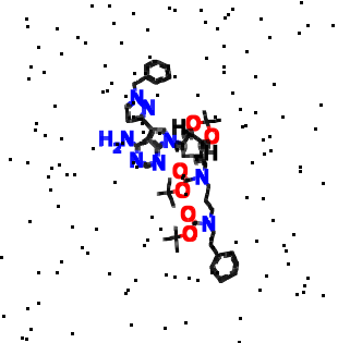 CC(C)(C)OC(=O)N(CCCN(C[C@H]1C[C@@H](n2cc(-c3ccn(Cc4ccccc4)n3)c3c(N)ncnc32)[C@@H]2OC(C)(C)O[C@H]12)C(=O)OC(C)(C)C)CCc1ccccc1